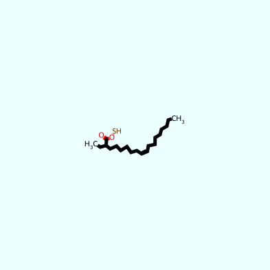 CCCCCCCC/C=C\CCCCCCC(CC)C(=O)OS